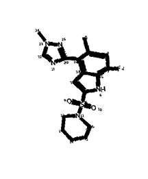 Cc1cc(F)c2[nH]c(S(=O)(=O)N3CCCCC3)cc2c1-c1ncn(C)n1